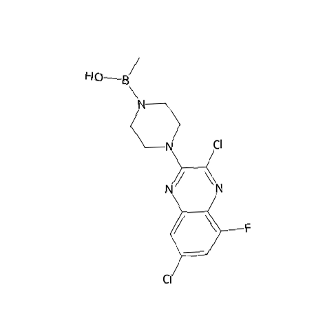 CB(O)N1CCN(c2nc3cc(Cl)cc(F)c3nc2Cl)CC1